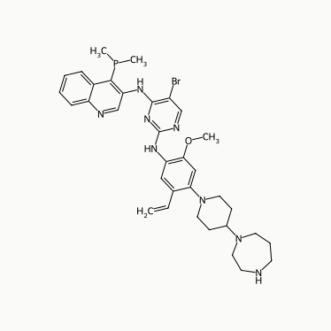 C=Cc1cc(Nc2ncc(Br)c(Nc3cnc4ccccc4c3P(C)C)n2)c(OC)cc1N1CCC(N2CCCNCC2)CC1